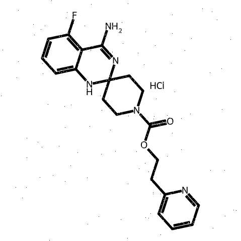 Cl.NC1=NC2(CCN(C(=O)OCCc3ccccn3)CC2)Nc2cccc(F)c21